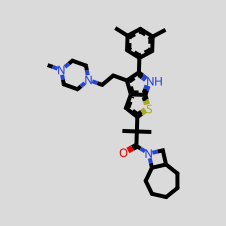 Cc1cc(C)cc(-c2[nH]c3sc(C(C)(C)C(=O)N4CC5CCCCCC54)cc3c2CCN2CCN(C)CC2)c1